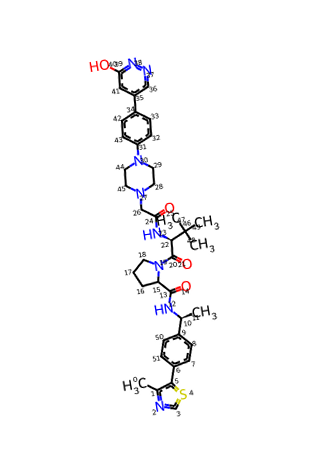 Cc1ncsc1-c1ccc([C@H](C)NC(=O)C2CCCN2C(=O)[C@@H](NC(=O)CN2CCN(c3ccc(-c4cnnc(O)c4)cc3)CC2)C(C)(C)C)cc1